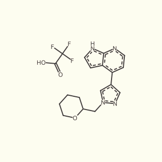 O=C(O)C(F)(F)F.c1cc(-c2cnn(CC3CCCCO3)c2)c2cc[nH]c2n1